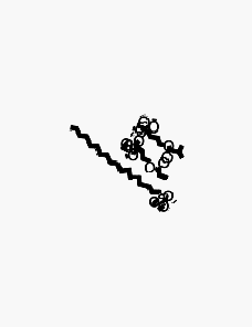 C=C(C)C(=O)OCCC[Si](OC)(OC)OC.C=CC(=O)OCCC[Si](OC)(OC)OC.CCCCCCCCCCCCCCCCCC[Si](OC)(OC)OC